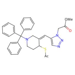 COC(=O)Cn1nncc1/C=C1/CN(C(c2ccccc2)(c2ccccc2)c2ccccc2)CCC1SC(C)=O